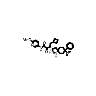 COc1ccc(NC(=O)C(=O)C(CC2CCC2)[C@@H]2CC3(CCC(c4ccccc4)(N(C)C)CC3)NN2)cn1